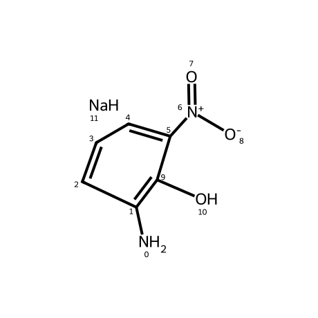 Nc1cccc([N+](=O)[O-])c1O.[NaH]